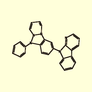 C1=CN2c3cc(-n4c5ccccc5c5cccnc54)ccc3N(c3ccccc3)N2C=C1